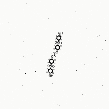 O=S(=O)(c1ccc(O)cc1)c1ccc(O/C=C/Oc2ccc(S(=O)(=O)c3ccc(O)cc3)cc2)cc1